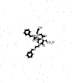 C#CCN1CC(=O)N2[C@@H](CC(=O)O)C(=O)N(CCOCc3ccccc3)C[C@@H]2N1C(=O)NCc1ccccc1